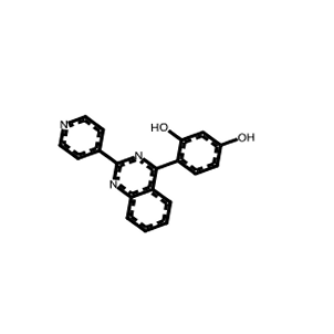 Oc1ccc(-c2nc(-c3ccncc3)nc3ccccc23)c(O)c1